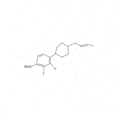 CC=CCC1CCC(c2ccc(OC)c(F)c2F)CC1